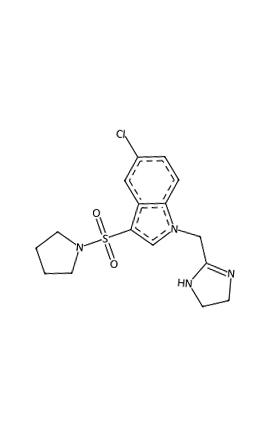 O=S(=O)(c1cn(CC2=NCCN2)c2ccc(Cl)cc12)N1CCCC1